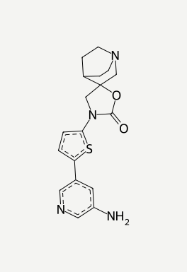 Nc1cncc(-c2ccc(N3CC4(CN5CCC4CC5)OC3=O)s2)c1